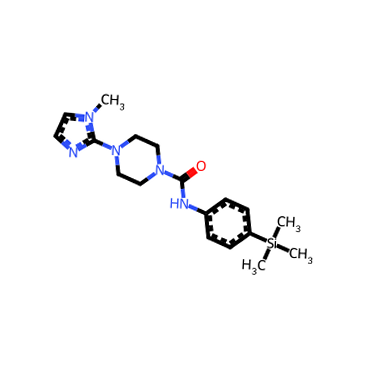 Cn1ccnc1N1CCN(C(=O)Nc2ccc([Si](C)(C)C)cc2)CC1